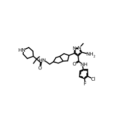 Cn1nc(C2CC3CC(CNC(=O)C(C)(C)C4CCNCC4)CC3C2)c(C(=O)Nc2ccc(F)c(Cl)c2)c1N